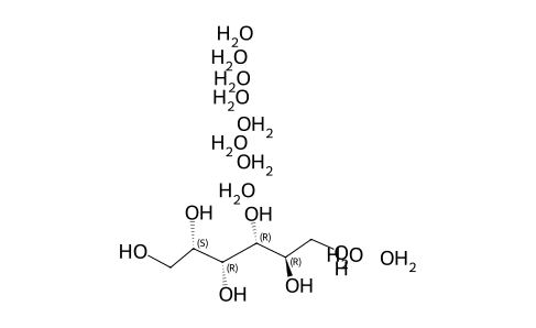 O.O.O.O.O.O.O.O.O.O.OC[C@@H](O)[C@@H](O)[C@H](O)[C@@H](O)CO